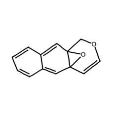 C1=CC23C=c4ccccc4=CC2(CO1)O3